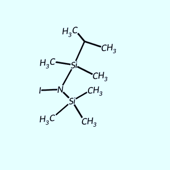 CC(C)[Si](C)(C)N(I)[Si](C)(C)C